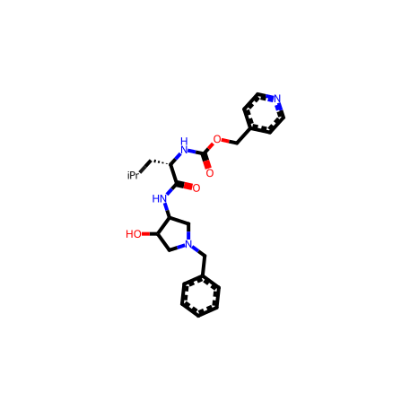 CC(C)C[C@H](NC(=O)OCc1ccncc1)C(=O)NC1CN(Cc2ccccc2)CC1O